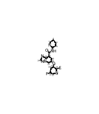 O=C(Nc1ccccn1)c1cc(Oc2cc(F)cnc2F)cn2ncnc12